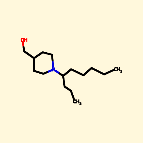 CCCCCC(CCC)N1CCC(CO)CC1